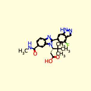 CNC(=O)c1ccc2nc(-c3cc(F)c4cn[nH]c4c3)n([C@@H](CC(=O)O)C(C)(C)C)c2c1